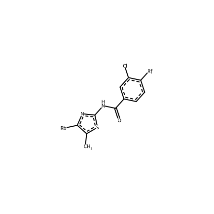 Cc1sc(NC(=O)c2cc[c]([Rf])c(Cl)c2)n[c]1[Rb]